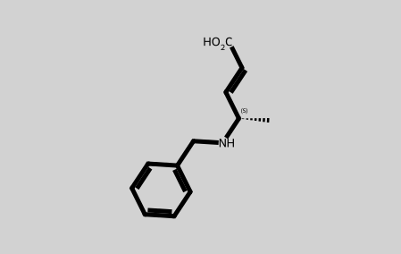 C[C@@H](C=CC(=O)O)NCc1ccccc1